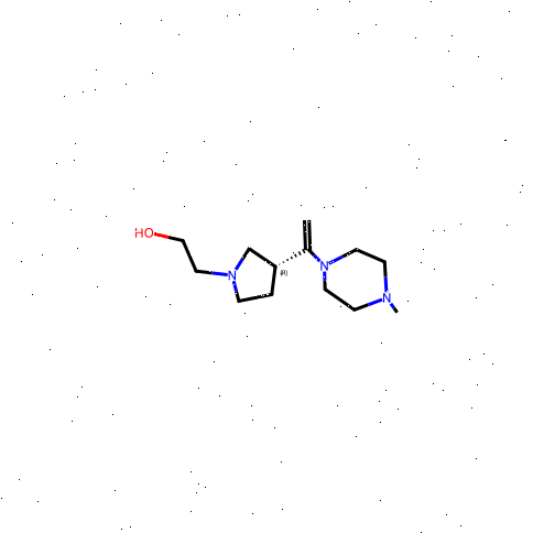 C=C([C@@H]1CCN(CCO)C1)N1CCN(C)CC1